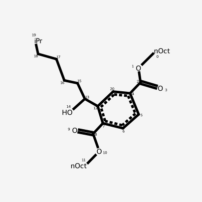 CCCCCCCCOC(=O)c1ccc(C(=O)OCCCCCCCC)c(C(O)CCCCC(C)C)c1